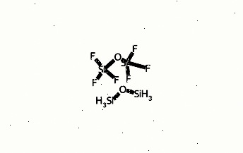 F[Si](F)(F)O[Si](F)(F)F.[SiH3]O[SiH3]